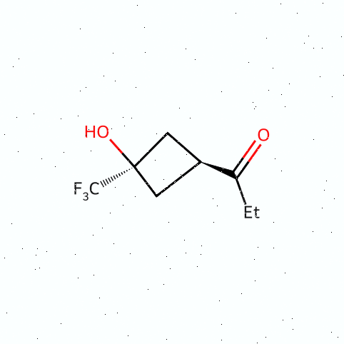 CCC(=O)[C@H]1C[C@](O)(C(F)(F)F)C1